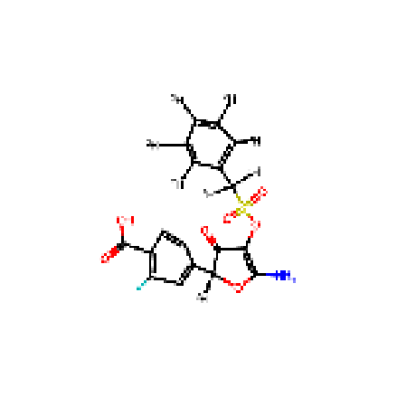 [2H]c1c([2H])c([2H])c(C([2H])([2H])S(=O)(=O)OC2=C(N)O[C@]([2H])(c3ccc(C(=O)O)c(F)c3)C2=O)c([2H])c1[2H]